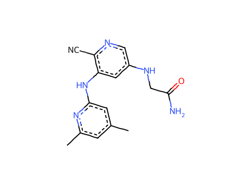 Cc1cc(C)nc(Nc2cc(NCC(N)=O)cnc2C#N)c1